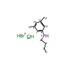 Br.CCCCPc1cc(C)cc(C)c1.Cl